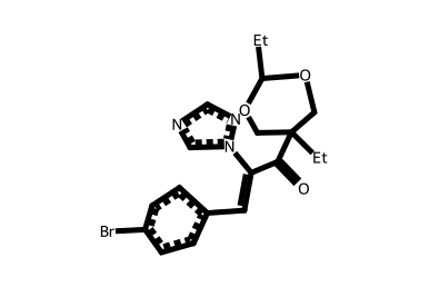 CCC1OCC(CC)(C(=O)C(=Cc2ccc(Br)cc2)n2cncn2)CO1